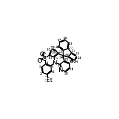 CCc1ccc2c(c1)N1c3ncccc3C3(c4ccccc4-c4ccccc43)c3cccc(c31)S2(=O)=O